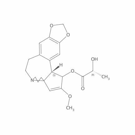 COC1=CC23CCCN2CCc2cc4c(cc2[C@@H]3C1OC(=O)[C@@H](C)O)OCO4